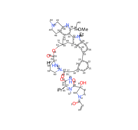 C=CC(=O)N1CCC(O)(C(=O)N(C)[C@H](C(=O)N[C@H]2Cc3cccc(c3)-c3ccc4c(c3)c(c(-c3cc5c(nc3[C@H](C)OC)CN(C)CC5)n4CC)CC(C)(C)COC(=O)[C@@H]3CCCN(N3)C2=O)C(C)C)C1